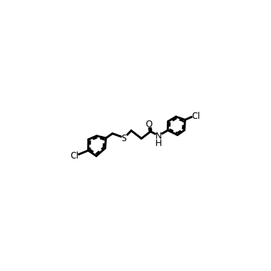 O=C(CCSCc1ccc(Cl)cc1)Nc1ccc(Cl)cc1